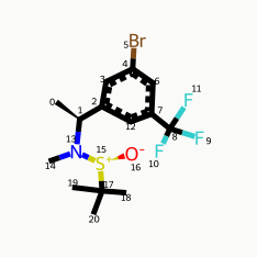 C[C@@H](c1cc(Br)cc(C(F)(F)F)c1)N(C)[S@@+]([O-])C(C)(C)C